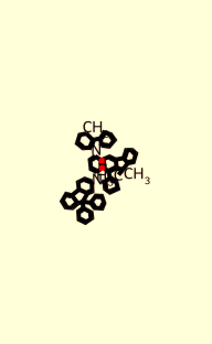 CC1CC=Cc2c1c1ccccc1n2-c1ccc(N(C2=CCC3C(=C2)C(c2ccccc2)(c2ccccc2)c2ccccc23)c2ccccc2-c2cccc3c2C(C)(C)c2ccccc2-3)cc1